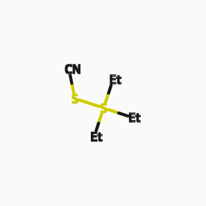 CCS(CC)(CC)SC#N